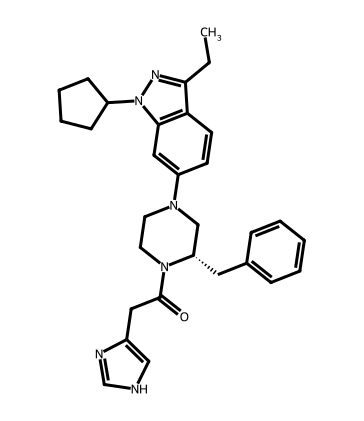 CCc1nn(C2CCCC2)c2cc(N3CCN(C(=O)Cc4c[nH]cn4)[C@@H](Cc4ccccc4)C3)ccc12